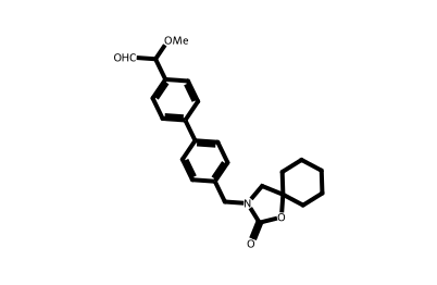 COC(C=O)c1ccc(-c2ccc(CN3CC4(CCCCC4)OC3=O)cc2)cc1